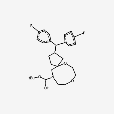 CC(C)(C)OC(O)N1CCOCCOC2(CCN(C(c3ccc(F)cc3)c3ccc(F)cc3)C2)C1